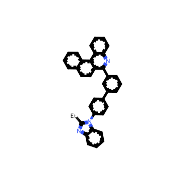 CCc1nc2ccccc2n1-c1ccc(-c2cccc(-c3nc4ccccc4c4c3ccc3ccccc34)c2)cc1